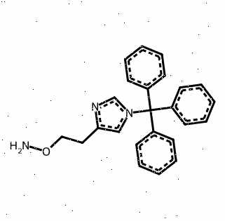 NOCCc1cn(C(c2ccccc2)(c2ccccc2)c2ccccc2)cn1